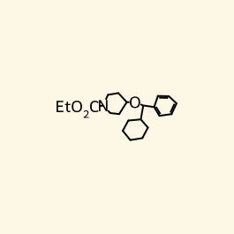 CCOC(=O)N1CCC(OC(c2ccccc2)C2CCCCC2)CC1